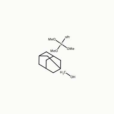 C1C2CC3CC1CC(C2)C3.CCC[Si](OC)(OC)OC.CO